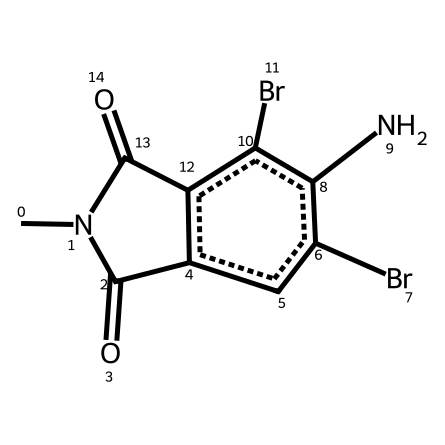 CN1C(=O)c2cc(Br)c(N)c(Br)c2C1=O